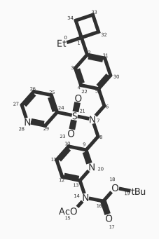 CCC1(c2ccc(CN(Cc3cccc(N(OC(C)=O)C(=O)OC(C)(C)C)n3)S(=O)(=O)c3cccnc3)cc2)CCC1